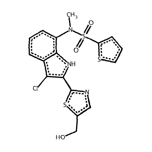 CN(c1cccc2c(Cl)c(-c3ncc(CO)s3)[nH]c12)S(=O)(=O)c1cccs1